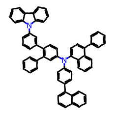 c1ccc(-c2cc(N(c3ccc(-c4cccc5ccccc45)cc3)c3ccc(-c4ccccc4)c4ccccc34)ccc2-c2cccc(-n3c4ccccc4c4ccccc43)c2)cc1